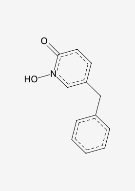 O=c1ccc(Cc2ccccc2)cn1O